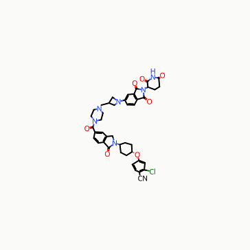 N#Cc1ccc(O[C@H]2CC[C@H](N3Cc4cc(C(=O)N5CCN(CC6CN(c7ccc8c(c7)C(=O)N(C7CCC(=O)NC7=O)C8=O)C6)CC5)ccc4C3=O)CC2)cc1Cl